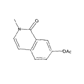 CC(=O)Oc1ccc2ccn(C)c(=O)c2c1